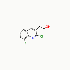 OCCc1cc2cccc(F)c2nc1Cl